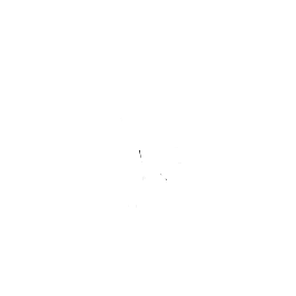 O=C1CCC=C2COC[C@@H](c3ccc(F)c(F)c3)N12